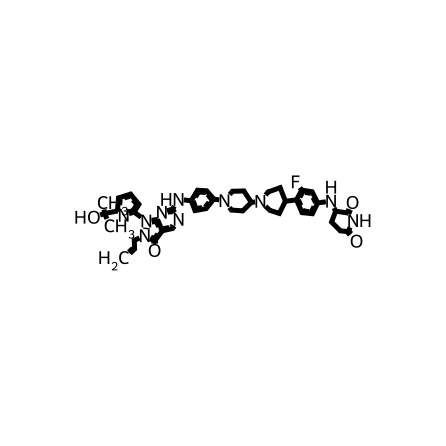 C=CCn1c(=O)c2cnc(Nc3ccc(N4CCC(N5CCC(c6ccc(NC7CCC(=O)NC7=O)cc6F)CC5)CC4)cc3)nc2n1-c1cccc(C(C)(C)O)n1